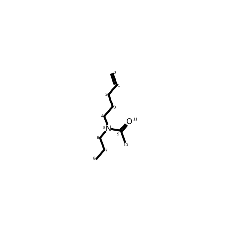 C=CCCCN(CCC)C(C)=O